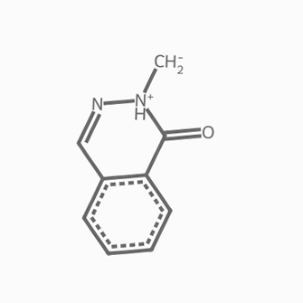 [CH2-][NH+]1N=Cc2ccccc2C1=O